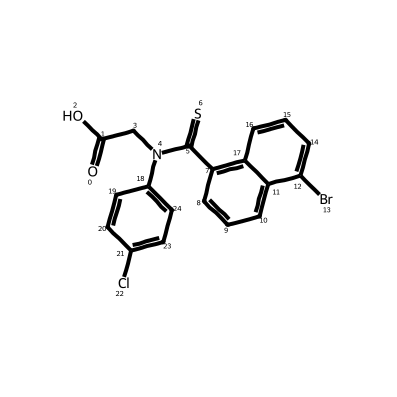 O=C(O)CN(C(=S)c1cccc2c(Br)cccc12)c1ccc(Cl)cc1